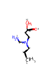 CCCN(CN)CCC(=O)O